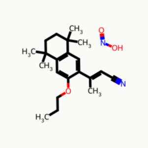 CCCOc1cc2c(cc1C(C)=CC#N)C(C)(C)CCC2(C)C.O=NO